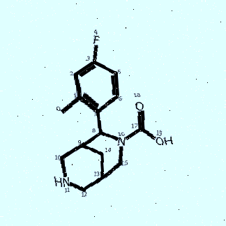 Cc1cc(F)ccc1C1C2CNCC(C2)CN1C(=O)O